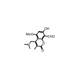 COc1cc(O)c(C=O)c2oc(=O)c(C)c(CN(C)C)c12